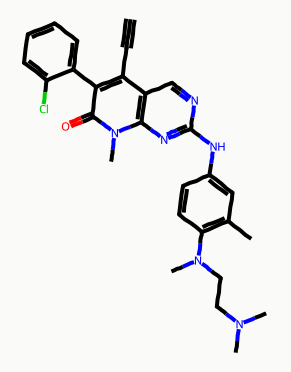 C#Cc1c(-c2ccccc2Cl)c(=O)n(C)c2nc(Nc3ccc(N(C)CCN(C)C)c(C)c3)ncc12